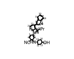 CC(C)c1nn(-c2ccc(C#N)c(N[C@H]3CC[C@H](O)CC3)c2)c2nccc(-c3cnc4ccccc4c3)c12